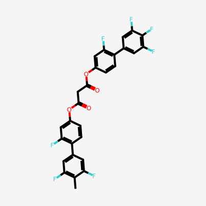 Cc1c(F)cc(-c2ccc(OC(=O)CC(=O)Oc3ccc(-c4cc(F)c(F)c(F)c4)c(F)c3)cc2F)cc1F